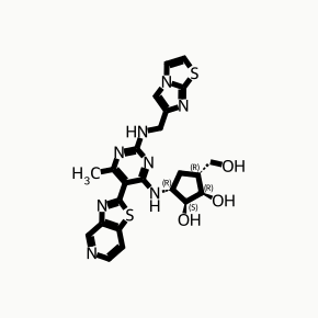 Cc1nc(NCc2cn3ccsc3n2)nc(N[C@@H]2C[C@H](CO)[C@@H](O)[C@H]2O)c1-c1nc2cnccc2s1